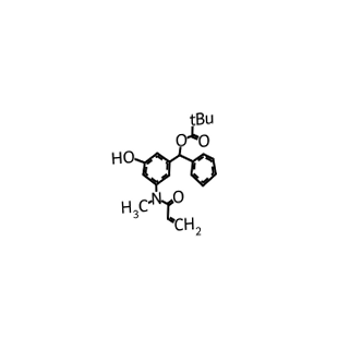 C=CC(=O)N(C)c1cc(O)cc(C(OC(=O)C(C)(C)C)c2ccccc2)c1